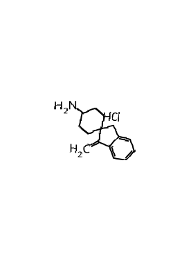 C=C1c2ccccc2CC12CCC(N)CC2.Cl